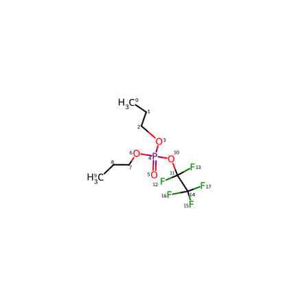 CCCOP(=O)(OCCC)OC(F)(F)C(F)(F)F